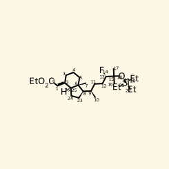 CCOC(=O)/C=C1\CCC[C@]2(C)[C@@H]([C@H](C)CC[C@H](F)C(C)(C)O[Si](CC)(CC)CC)CC[C@@H]12